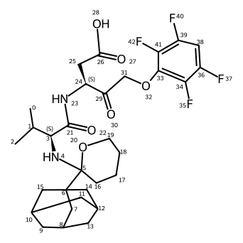 CC(C)[C@H](NC1(C23CC4CC(CC(C4)C2)C3)CCCCO1)C(=O)N[C@@H](CC(=O)O)C(=O)COc1c(F)c(F)cc(F)c1F